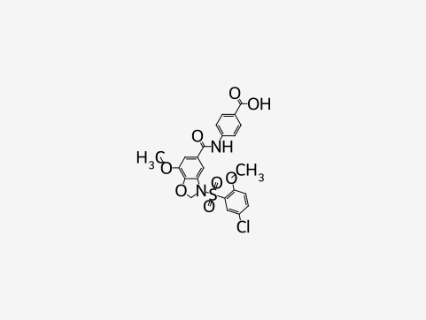 COc1ccc(Cl)cc1S(=O)(=O)N1COc2c(OC)cc(C(=O)Nc3ccc(C(=O)O)cc3)cc21